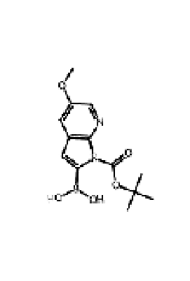 COc1cnc2c(c1)cc(B(O)O)n2C(=O)OC(C)(C)C